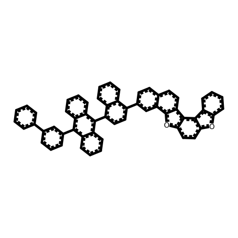 c1ccc(-c2cccc(-c3c4ccccc4c(-c4ccc(-c5ccc6ccc7c(oc8ccc9oc%10ccccc%10c9c87)c6c5)c5ccccc45)c4ccccc34)c2)cc1